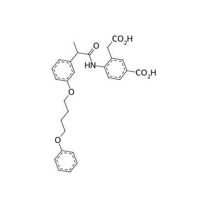 CC(C(=O)Nc1ccc(C(=O)O)cc1CC(=O)O)c1cccc(OCCCCOc2ccccc2)c1